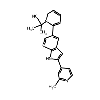 Cc1cc(-c2cc3cc(C4=CC=CCN4C(C)(C)C#N)cnc3[nH]2)ccn1